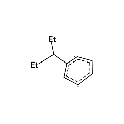 CCC(CC)c1[c]cc[c]c1